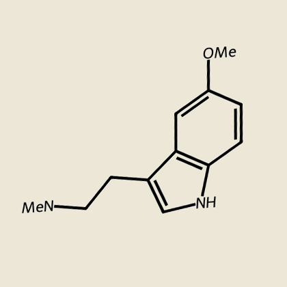 CNCCc1c[nH]c2ccc(OC)cc12